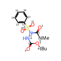 CNC(=O)N(NC(=O)OC(C)(C)C)S(=O)(=O)c1ccccc1